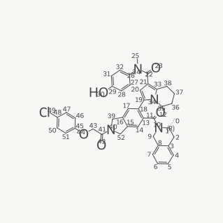 C[C@@H]1Cc2ccccc2CN1C(=O)c1cc2c(cc1-c1cc(C(=O)N(C)c3ccc(O)cc3)c3n1CCCC3)CN(C(=O)COc1ccc(Cl)cc1)C2